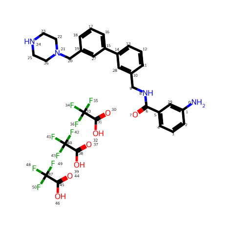 Nc1cccc(C(=O)NCc2cccc(-c3cccc(CN4CCNCC4)c3)c2)c1.O=C(O)C(F)(F)F.O=C(O)C(F)(F)F.O=C(O)C(F)(F)F